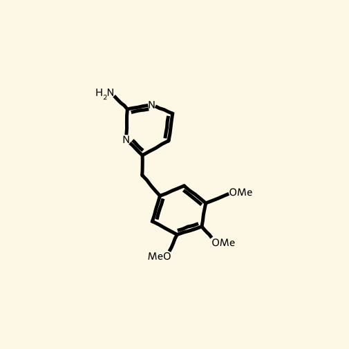 COc1cc(Cc2ccnc(N)n2)cc(OC)c1OC